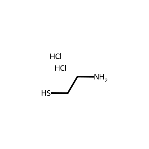 Cl.Cl.NCCS